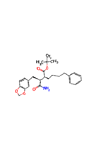 CC(C)(C)OC(=O)[C@@H](CCCCc1ccccc1)[C@H](Cc1ccc2c(c1)OCO2)C(N)=O